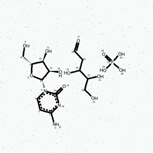 Nc1ccn([C@@H]2O[C@H](CO)[C@@H](O)[C@H]2O)c(=O)n1.O=CCC(O)C(O)CO.O=P(O)(O)O